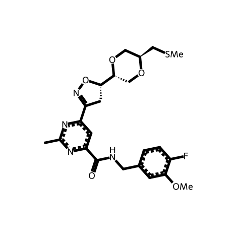 COc1cc(CNC(=O)c2cc(C3=NO[C@H]([C@H]4CO[C@H](CSC)CO4)C3)nc(C)n2)ccc1F